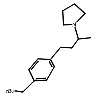 CC(CCc1ccc(CC(C)(C)C)cc1)N1CCCC1